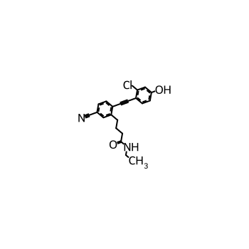 CCNC(=O)CCCc1cc(C#N)ccc1C#Cc1ccc(O)cc1Cl